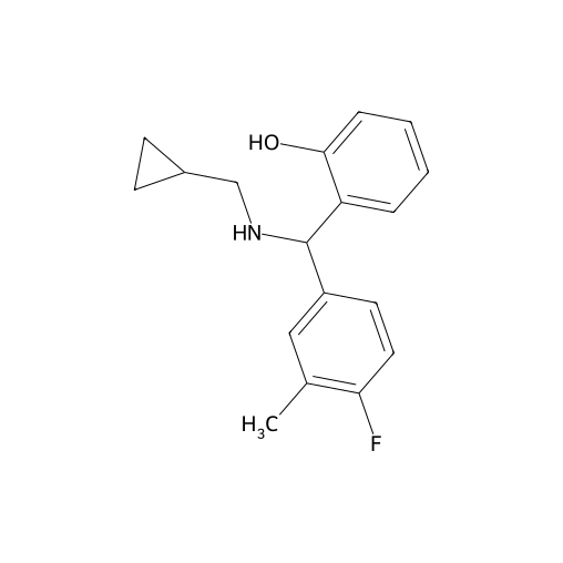 Cc1cc(C(NCC2CC2)c2ccccc2O)ccc1F